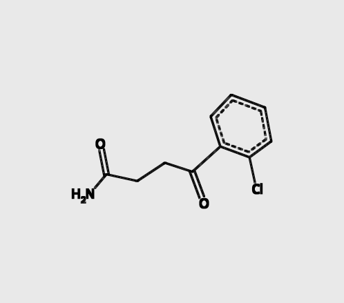 NC(=O)CCC(=O)c1ccccc1Cl